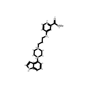 CNC(=O)c1cc(OCCCN2CCN(c3cccc4sccc34)CC2)ccn1